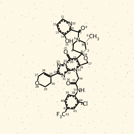 C[C@@H]1C[C@]2(CCN1C(=O)c1ncccc1O)OCc1c2c(=O)n2nc(C3=CCOCC3)nc2n1CC(=O)Nc1ccc(C(F)(F)F)cc1Cl